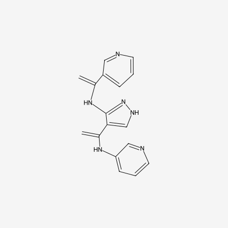 C=C(Nc1n[nH]cc1C(=C)Nc1cccnc1)c1cccnc1